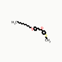 CCCCCCCCCCCCOc1ccc(C=CC(=O)c2ccc(SCCC)cc2)cc1